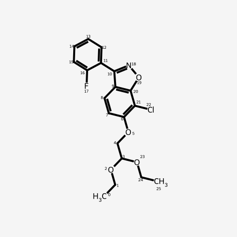 CCOC(COc1ccc2c(-c3ccccc3F)noc2c1Cl)OCC